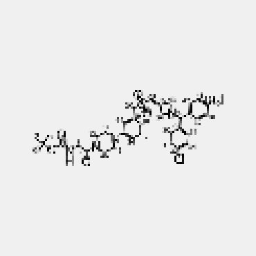 CC(C)(C)OC(=O)NCC(=O)N1CCN(c2cccc(CS(=O)(=O)C=C3CN(C(c4ccc(Cl)cc4)c4ccc(Cl)cc4)C3)c2)CC1